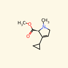 COC(=O)[C@@H]1C(C2CC2)=CCN1C